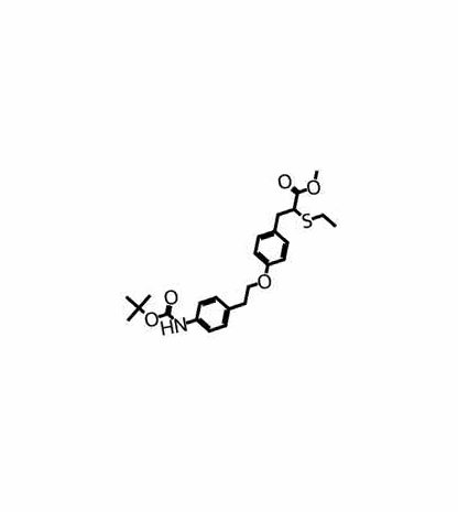 CCSC(Cc1ccc(OCCc2ccc(NC(=O)OC(C)(C)C)cc2)cc1)C(=O)OC